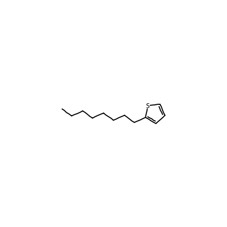 CCCCCCCCc1cccs1